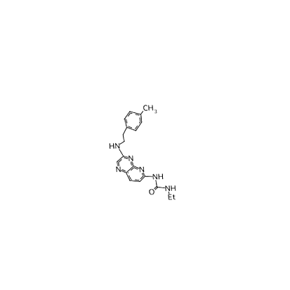 CCNC(=O)Nc1ccc2ncc(NCCc3ccc(C)cc3)nc2n1